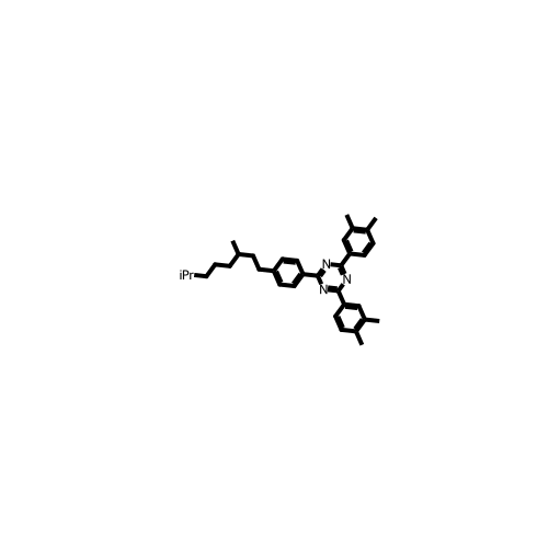 Cc1ccc(-c2nc(-c3ccc(CCC(C)CCCC(C)C)cc3)nc(-c3ccc(C)c(C)c3)n2)cc1C